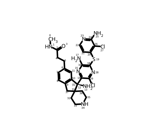 CNC(=O)CCc1ccc2c(c1)[C@](N)(c1nc(N)c(Sc3ccnc(N)c3Cl)nc1Cl)C1(CCNCC1)C2